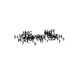 CC[C@@H](c1ncc(-c2ccc3c(=O)c4ccc(-c5cnc([C@@H]6CCCN6C(=O)[C@@H](NC(=O)OC)C(C)C)[nH]5)cc4[nH]c3c2)[nH]1)N(CC)C(=O)[C@@H](NC(=O)OC)C(C)C